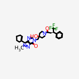 Cn1nc2c(=O)n(CC3(O)CCN(C(=O)C[C@H](c4ccccc4)C(F)(F)F)CC3)cnc2c1C1=CCCCC1